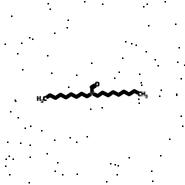 CCCCCCCCCN([C]=O)CCCCCCCCC